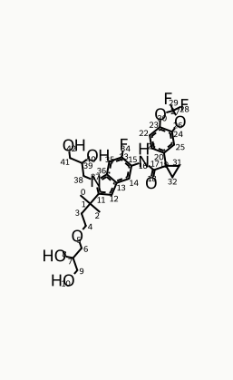 CC(C)(CCOCC(O)CO)c1cc2cc(NC(=O)C3(c4ccc5c(c4)OC(F)(F)O5)CC3)c(F)cc2n1CC(O)CO